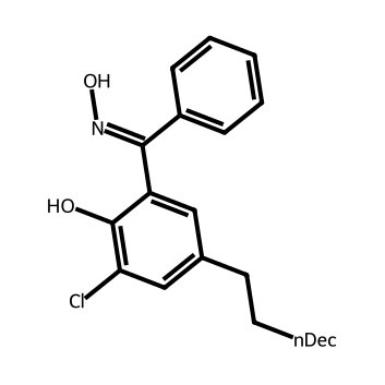 CCCCCCCCCCCCc1cc(Cl)c(O)c(/C(=N/O)c2ccccc2)c1